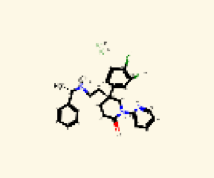 C[C@@H](c1ccccc1)N(C)CC[C@]1(c2ccc(Cl)c(Cl)c2)CCC(=O)N(c2ccccn2)C1.Cl.Cl